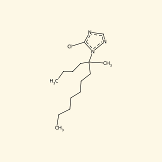 CCCCCCCC(C)(CCCC)n1ncnc1Cl